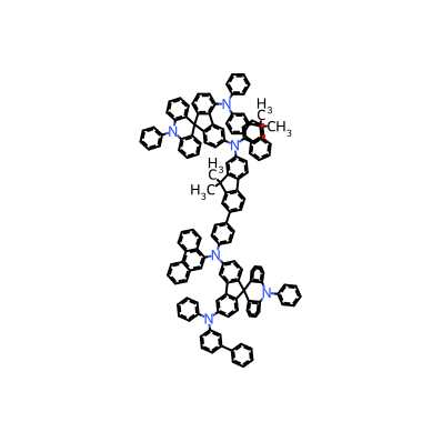 CC1(C)c2cc(-c3ccc(N(c4ccc5c(c4)-c4cc(N(c6ccccc6)c6cccc(-c7ccccc7)c6)ccc4C54c5ccccc5N(c5ccccc5)c5ccccc54)c4cc5ccccc5c5ccccc45)cc3)ccc2-c2ccc(N(c3ccccc3)c3ccc4c(c3)-c3c(N(c5ccccc5)c5ccc6c(c5)C(C)(C)c5ccccc5-6)cccc3C43c4ccccc4N(c4ccccc4)c4ccccc43)cc21